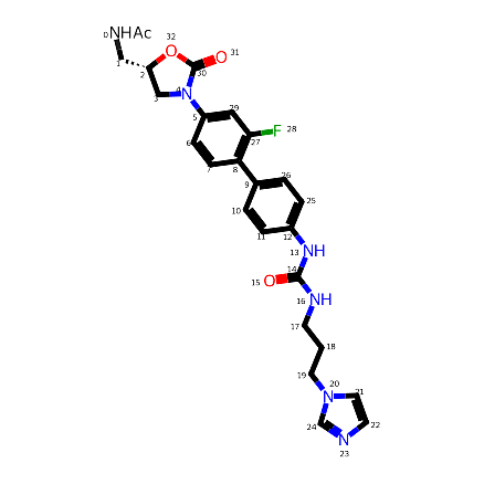 CC(=O)NC[C@H]1CN(c2ccc(-c3ccc(NC(=O)NCCCn4ccnc4)cc3)c(F)c2)C(=O)O1